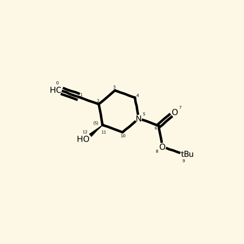 C#CC1CCN(C(=O)OC(C)(C)C)C[C@H]1O